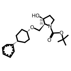 CC(C)(C)OC(=O)N1CC[C@H](O)[C@@H]1CO[C@H]1CC[C@@H](c2ccccc2)CC1